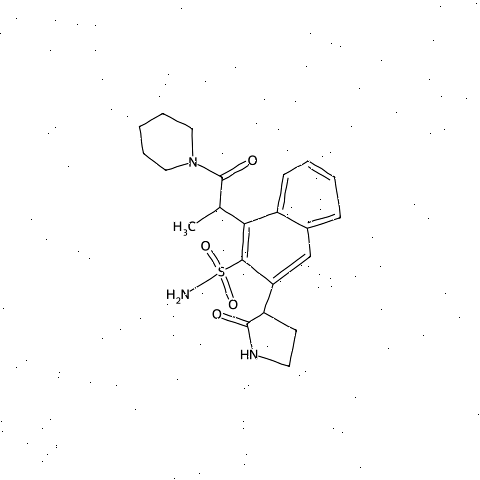 CC(C(=O)N1CCCCC1)c1c(S(N)(=O)=O)c(C2CCNC2=O)cc2ccccc12